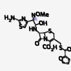 CO/N=C(/c1csc(N)n1)C(O)NC1C(=O)N2C(C(=O)O)=C(CSC(=O)c3ccco3)CSC12